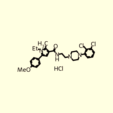 CCn1c(-c2ccc(OC)cc2)cc(C(=O)NCCN2CCN(c3cccc(Cl)c3Cl)CC2)c1C.Cl